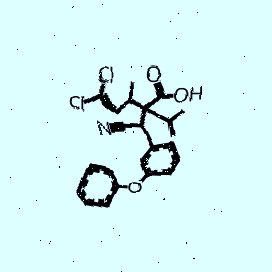 CC(C)C(C(=O)O)(C(C)C=C(Cl)Cl)C(C#N)c1cccc(Oc2ccccc2)c1